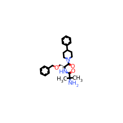 CC(C)(N)C(=O)N[C@H](COCc1ccccc1)C(=O)N1CCC(c2ccccc2)CC1